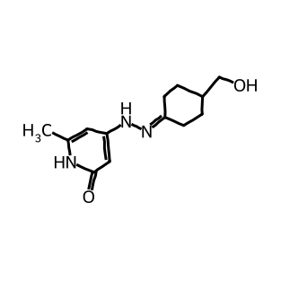 Cc1cc(NN=C2CCC(CO)CC2)cc(=O)[nH]1